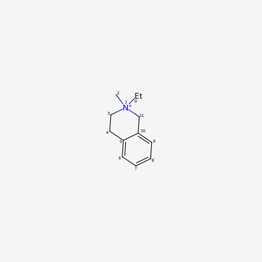 CC[N+]1(C)CCc2ccccc2C1